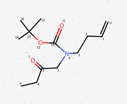 C=CCCN(CC(=O)CC)C(=O)OC(C)(C)C